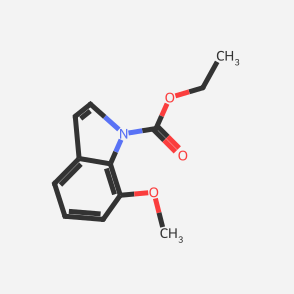 CCOC(=O)n1ccc2cccc(OC)c21